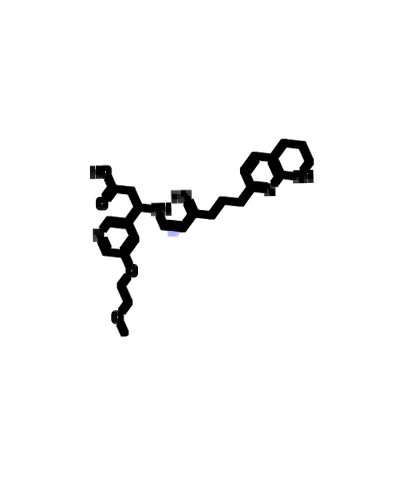 COCCOc1cncc(C(CC(=O)O)N/C=C\C(=N)CCCc2ccc3c(n2)NCCC3)c1